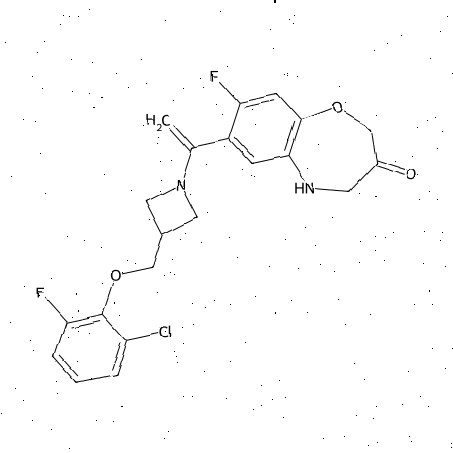 C=C(c1cc2c(cc1F)OCC(=O)CN2)N1CC(COc2c(F)cccc2Cl)C1